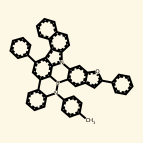 Cc1ccc(N2B3c4cc5cc(-c6ccccc6)oc5cc4-n4c5ccc6ccccc6c5c5c(-c6ccccc6)cc(c3c54)-c3ccccc32)cc1